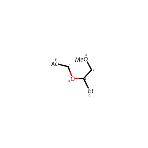 CCC(COC)OCC(C)=O